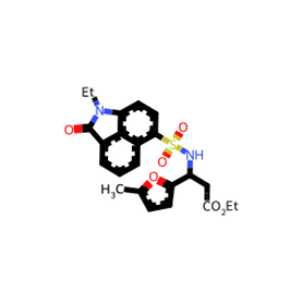 CCOC(=O)C[C](NS(=O)(=O)c1ccc2c3c(cccc13)C(=O)N2CC)c1ccc(C)o1